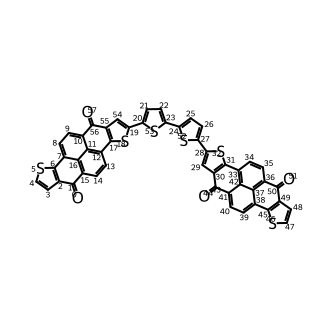 O=C1c2ccsc2-c2ccc3c4c(ccc1c24)-c1sc(-c2ccc(-c4ccc(-c5cc6c(s5)-c5ccc7c8c(ccc(c58)C6=O)-c5sccc5C7=O)s4)s2)cc1C3=O